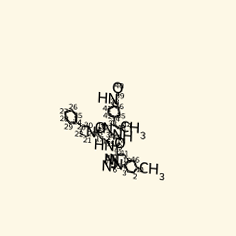 Cc1ccc(-n2cnnn2)c(/C=C/C(=O)N[C@@H](CC(=O)N2CCC(c3ccccc3)C2)c2nc(-c3ccc(NC=O)cc3)c(C)[nH]2)c1